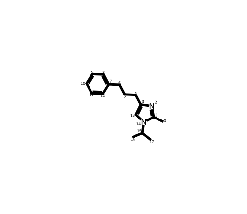 Cc1nc(CCCc2ccccc2)cn1C(C)C